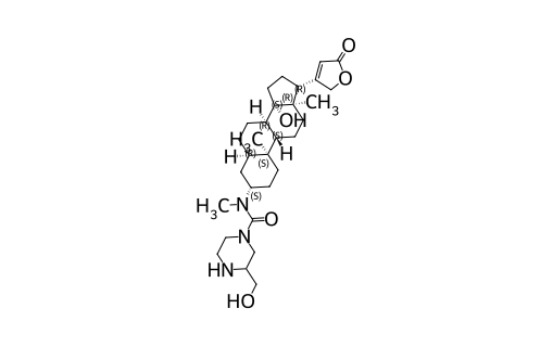 CN(C(=O)N1CCNC(CO)C1)[C@H]1CC[C@@]2(C)[C@H](CC[C@@H]3[C@@H]2CC[C@]2(C)[C@@H](C4=CC(=O)OC4)CC[C@]32O)C1